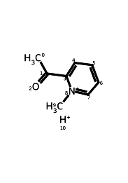 CC(=O)c1cccc[n+]1C.[H+]